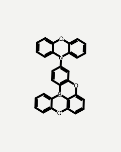 c1ccc2c(c1)Oc1cccc3c1B2c1ccc(N2c4ccccc4Oc4ccccc42)cc1O3